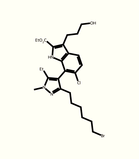 CCOC(=O)c1[nH]c2c(-c3c(CCCCCCBr)nn(C)c3CC)c(Cl)ccc2c1CCCO